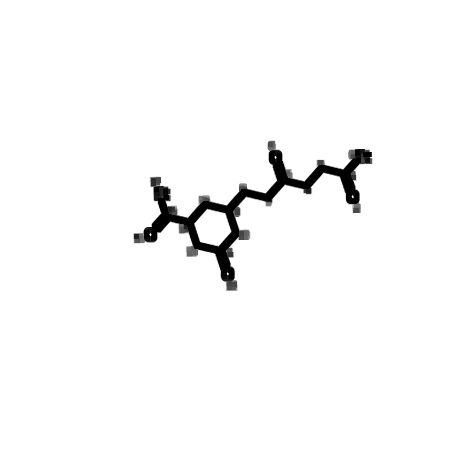 CCC(=O)CCC(=O)CCC1CC(=O)CC(C(=O)CC)C1